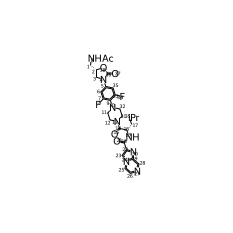 CC(=O)NC[C@H]1CN(c2cc(F)c(N3CCN(C(=O)[C@H](CC(C)C)NC(=O)c4cn5ccncc5n4)CC3)c(F)c2)C(=O)O1